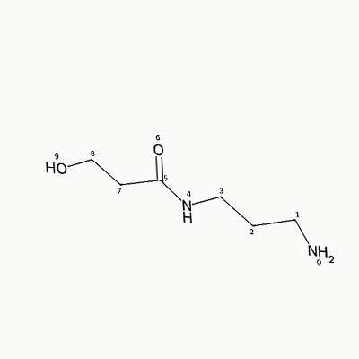 NCCCNC(=O)CCO